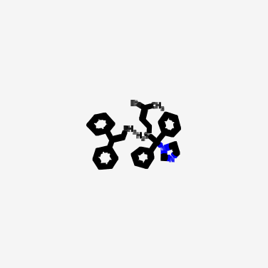 BC=C(c1ccccc1)c1ccccc1.CCC(C)=CC[SiH2]C(c1ccccc1)(c1ccccc1)n1ccnc1